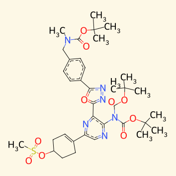 CN(Cc1ccc(-c2nnc(-c3nc(C4=CCC(OS(C)(=O)=O)CC4)cnc3N(C(=O)OC(C)(C)C)C(=O)OC(C)(C)C)o2)cc1)C(=O)OC(C)(C)C